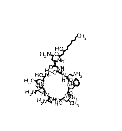 CCCCCCC[C@@H](O)CC(=O)N[C@H](CCN)C(=O)N[C@H]1CCNC(O)[C@H](CC(C)C)NC(=O)[C@H](CCN)NC2=C(N)CN2NC(=O)[C@H](CC(C)C)NC(=O)[C@@H](Cc2ccccc2)NC(=O)[C@H](CCN)NC1=O